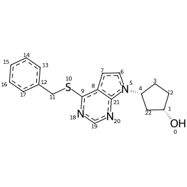 O[C@H]1[CH]C[C@@H](n2ccc3c(SCc4ccccc4)ncnc32)C1